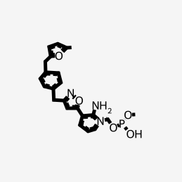 COP(O)OC[n+]1cccc(-c2cc(Cc3ccc(Cc4ccc(C)o4)cc3)no2)c1N